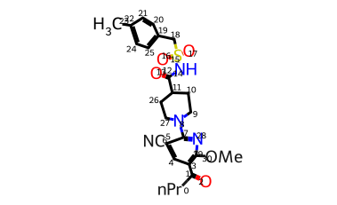 CCCC(=O)c1cc(C#N)c(N2CCC(C(=O)NS(=O)(=O)Cc3ccc(C)cc3)CC2)nc1OC